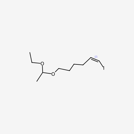 CCOC(C)OCCCC/C=C\I